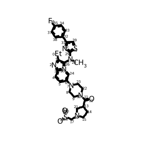 CCc1nc2ccc(N3CCN(C(=O)C4CCN(C[SH](=O)=O)C4)CC3)cn2c1N(C)c1nc(-c2ccc(F)cc2)cs1